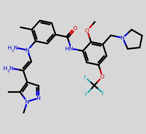 COc1c(CN2CCCC2)cc(OC(F)(F)F)cc1NC(=O)c1ccc(C)c(N(N)/C=C(\N)c2cnn(C)c2C)c1